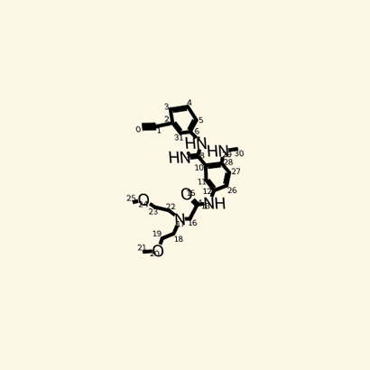 C#Cc1cccc(NC(=N)c2cc(NC(=O)CN(CCOC)CCOC)ccc2NC)c1